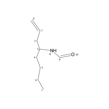 C=CC[C](CCCC)NC=O